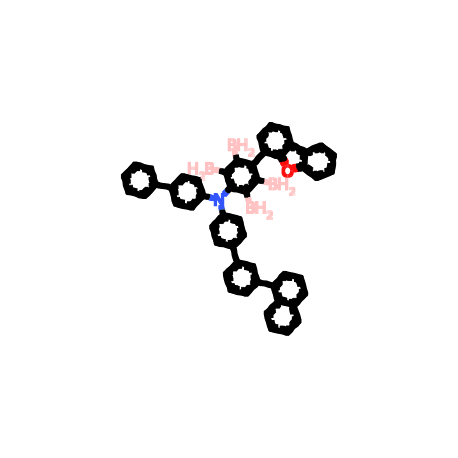 Bc1c(B)c(N(c2ccc(-c3ccccc3)cc2)c2ccc(-c3cccc(-c4cccc5ccccc45)c3)cc2)c(B)c(B)c1-c1cccc2c1oc1ccccc12